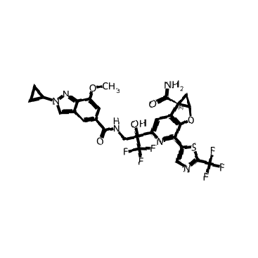 COc1cc(C(=O)NCC(O)(c2cc3c(c(-c4cnc(C(F)(F)F)s4)n2)OC2C[C@@]32C(N)=O)C(F)(F)F)cc2cn(C3CC3)nc12